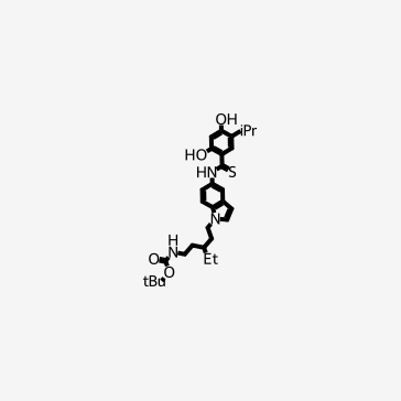 CCC(CCNC(=O)OC(C)(C)C)CCn1ccc2cc(NC(=S)c3cc(C(C)C)c(O)cc3O)ccc21